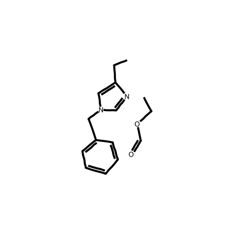 CCOC=O.CCc1cn(Cc2ccccc2)cn1